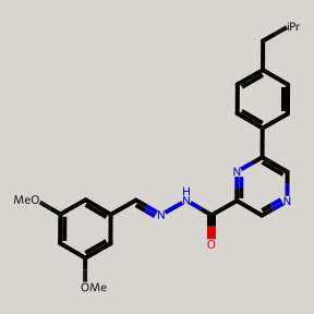 COc1cc(C=NNC(=O)c2cncc(-c3ccc(CC(C)C)cc3)n2)cc(OC)c1